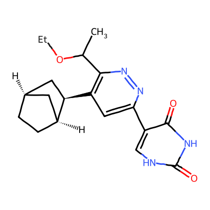 CCOC(C)c1nnc(-c2c[nH]c(=O)[nH]c2=O)cc1[C@@H]1C[C@@H]2CC[C@H]1C2